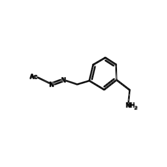 CC(=O)N=NCc1cccc(CN)c1